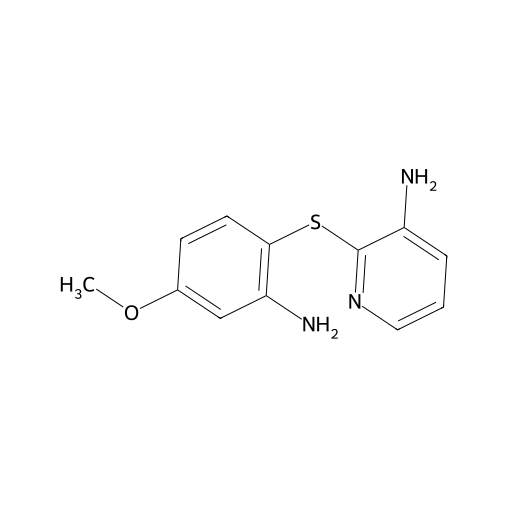 COc1ccc(Sc2ncccc2N)c(N)c1